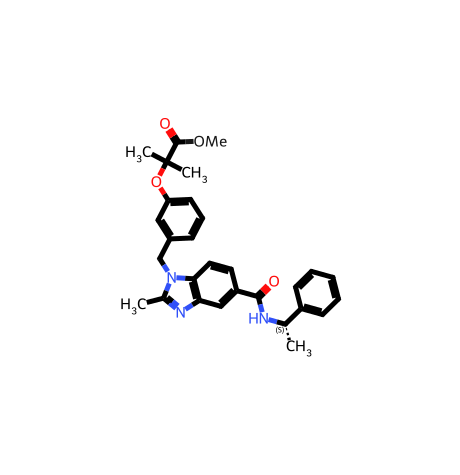 COC(=O)C(C)(C)Oc1cccc(Cn2c(C)nc3cc(C(=O)N[C@@H](C)c4ccccc4)ccc32)c1